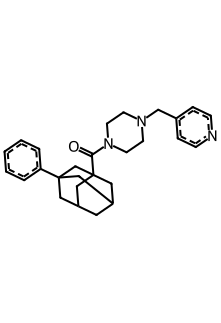 O=C(N1CCN(Cc2ccncc2)CC1)C12CC3CC(C1)CC(c1ccccc1)(C3)C2